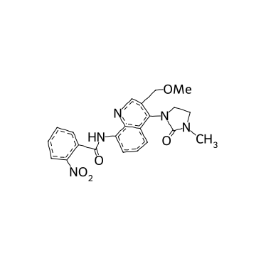 COCc1cnc2c(NC(=O)c3ccccc3[N+](=O)[O-])cccc2c1N1CCN(C)C1=O